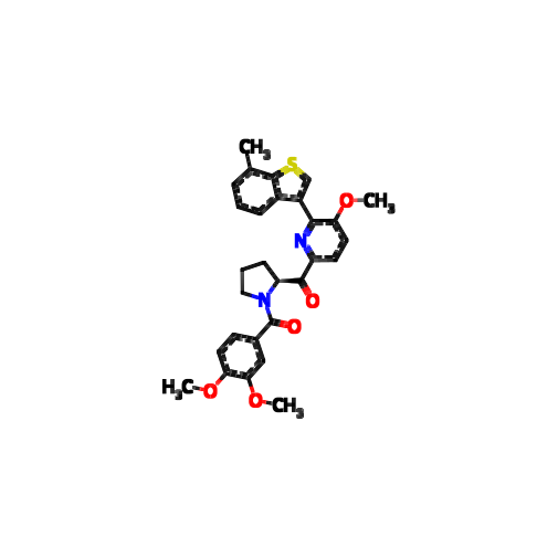 COc1ccc(C(=O)N2CCC[C@H]2C(=O)c2ccc(OC)c(-c3csc4c(C)cccc34)n2)cc1OC